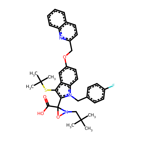 CC(C)(C)CN1OC1(C(=O)O)c1c(SC(C)(C)C)c2cc(OCc3ccc4ccccc4n3)ccc2n1Cc1ccc(F)cc1